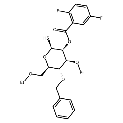 CCOC[C@H]1O[C@@H](S)[C@@H](OC(=O)c2cc(F)ccc2F)[C@@H](OCC)[C@@H]1OCc1ccccc1